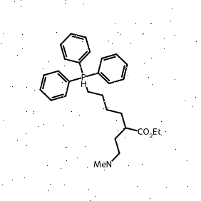 CCOC(=O)C(CCCC[PH](c1ccccc1)(c1ccccc1)c1ccccc1)CCNC